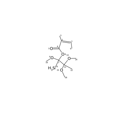 CC=C(C)C(=O)OC([SiH3])(OC)C(C)(OC)OC